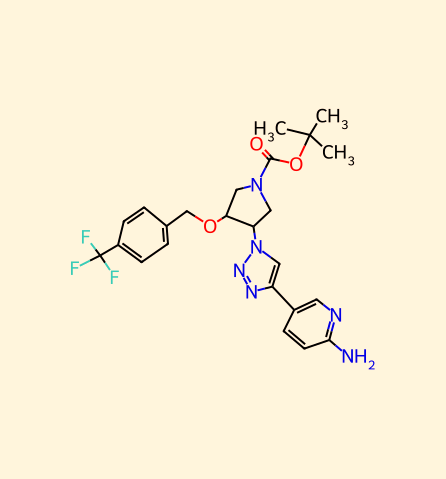 CC(C)(C)OC(=O)N1CC(OCc2ccc(C(F)(F)F)cc2)C(n2cc(-c3ccc(N)nc3)nn2)C1